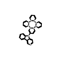 C1=CB2N(C=C1)B1C=CC=CN1B1C=C(n3c4ccccc4c4cnccc43)C=CN1B1C=CC=CN21